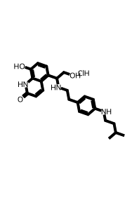 CC(C)CCNc1ccc(CCNC(CO)c2ccc(O)c3[nH]c(=O)ccc23)cc1.Cl